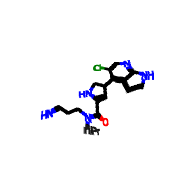 CCCN(CCC=N)C(=O)C1=CC(c2c(Cl)cnc3[nH]ccc23)CN1